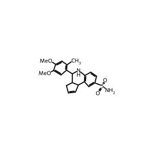 COc1cc(C)c(C2Nc3ccc(S(N)(=O)=O)cc3C3C=CCC32)cc1OC